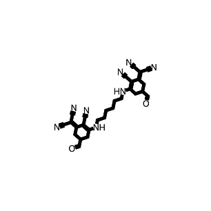 N#CC(C#N)=C1CC(C=O)CC(NCCCCCCNC2=C(C#N)C(=C(C#N)C#N)CC(C=O)C2)=C1C#N